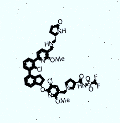 COc1nc(-c2cccc(-c3cccc4c3CC[C@@H]4Oc3nc(OC)c(CN4CC[C@@H](C(=O)NS(=O)(=O)C(F)F)C4)cc3Cl)c2Cl)ccc1CNC[C@@H]1CCC(=O)N1